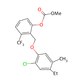 CCc1cc(Cl)c(OCc2c(OC(=O)OC)cccc2C(F)(F)F)cc1C